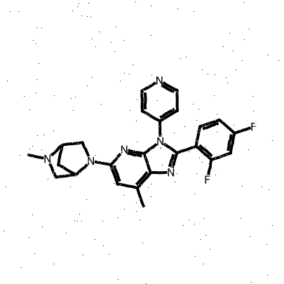 Cc1cc(N2CC3CC2CN3C)nc2c1nc(-c1ccc(F)cc1F)n2-c1ccncc1